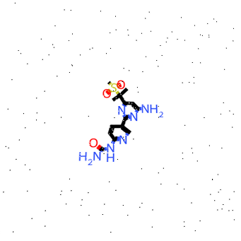 CC(C)(c1cc(N)nc(-c2ccc(NC(N)=O)nc2)n1)S(C)(=O)=O